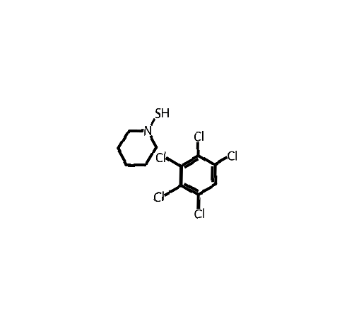 Clc1cc(Cl)c(Cl)c(Cl)c1Cl.SN1CCCCC1